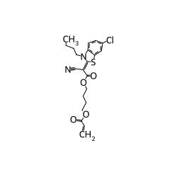 C=CC(=O)OCCCCOC(=O)/C(C#N)=C1\Sc2cc(Cl)ccc2N1CCCC